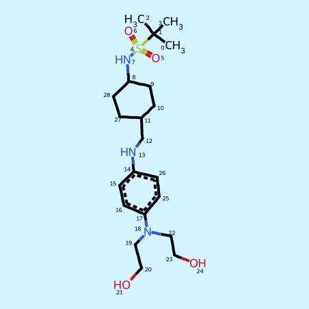 CC(C)(C)S(=O)(=O)NC1CCC(CNc2ccc(N(CCO)CCO)cc2)CC1